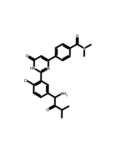 CC(C)C(=O)C(N)c1ccc(Cl)c(-c2nc(-c3ccc(C(=O)N(C)C)cc3)cc(=O)[nH]2)c1